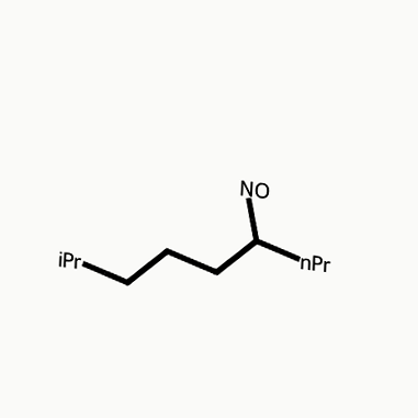 CCCC(CCCC(C)C)N=O